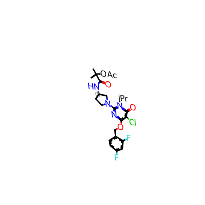 CC(=O)OC(C)(C)C(=O)N[C@H]1CCN(c2nc(OCc3ccc(F)cc3F)c(Cl)c(=O)n2C(C)C)C1